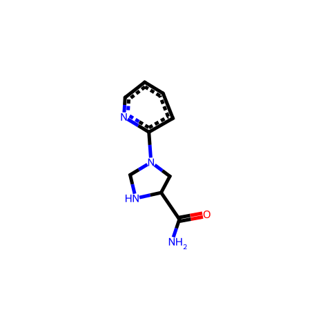 NC(=O)C1CN(c2ccccn2)CN1